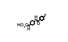 O=C(O)NC1CCC(NC(=O)c2ccc(F)cc2)CC1